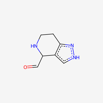 O=CC1NCCc2n[nH]cc21